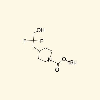 CC(C)(C)OC(=O)N1CCC(CC(F)(F)CO)CC1